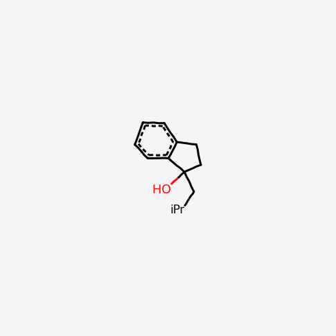 CC(C)CC1(O)CCc2ccccc21